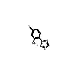 Nc1cc(Cl)ccc1-n1ncnn1